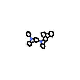 c1ccc(-n2c3ccccc3c3cc(-n4c5ccccc5c5cc6c7c(cccc7c54)-c4ccccc4-6)ccc32)cc1